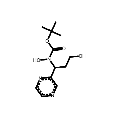 CC(C)(C)OC(=O)N(O)[C@@H](CCO)c1cnccn1